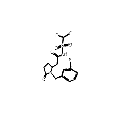 O=C(CC1CCC(=O)N1Cc1cccc(F)c1)NS(=O)(=O)C(F)F